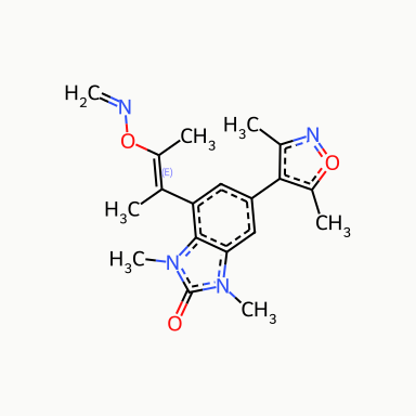 C=NO/C(C)=C(\C)c1cc(-c2c(C)noc2C)cc2c1n(C)c(=O)n2C